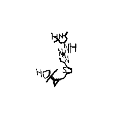 C=C1CC(Nc2nccc(-c3ccc(CC4CC4C(C)(C)O)s3)n2)CC(C)(C)N1